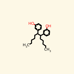 CCCCCC(c1cccc(O)c1)C(CCCCC)c1cccc(O)c1